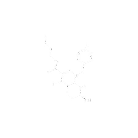 N[C@H]1CSC2=C(F)C(C(=O)NCCCC(F)(F)F)=CN(Cc3ccc(Cl)cc3)C2C1=O